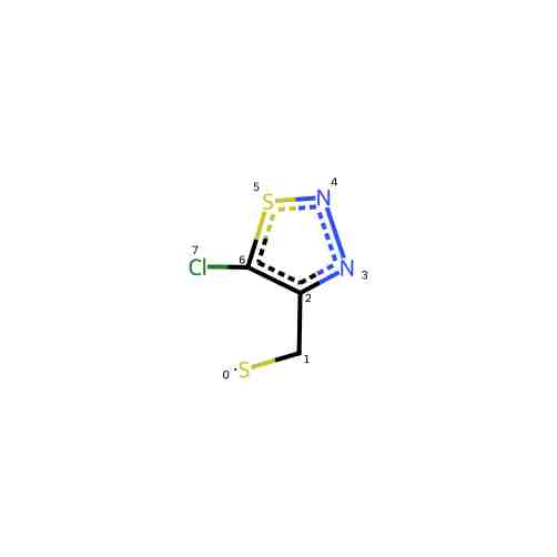 [S]Cc1nnsc1Cl